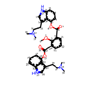 COc1c(C(=O)Oc2cccc3[nH]cc(CCN(C)C)c23)cccc1C(=O)Oc1cccc2[nH]cc(CCN(C)C)c12